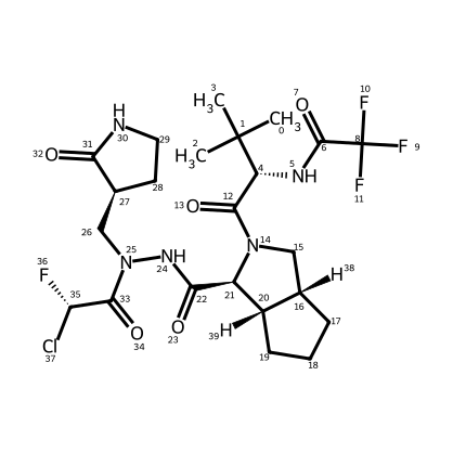 CC(C)(C)[C@H](NC(=O)C(F)(F)F)C(=O)N1C[C@@H]2CCC[C@@H]2[C@H]1C(=O)NN(C[C@@H]1CCNC1=O)C(=O)[C@@H](F)Cl